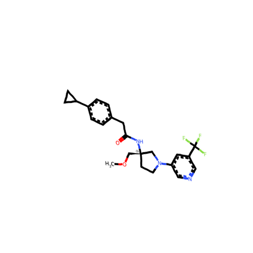 COC[C@]1(NC(=O)Cc2ccc(C3CC3)cc2)CCN(c2cncc(C(F)(F)F)c2)C1